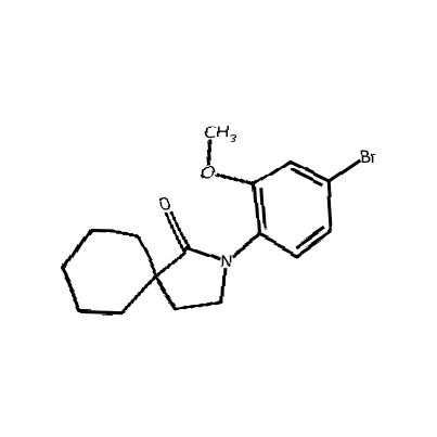 COc1cc(Br)ccc1N1CCC2(CCCCC2)C1=O